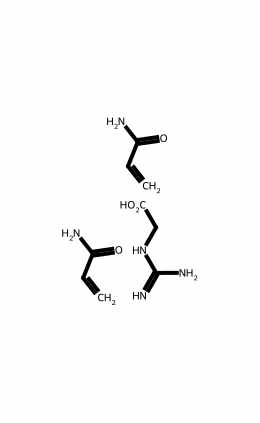 C=CC(N)=O.C=CC(N)=O.N=C(N)NCC(=O)O